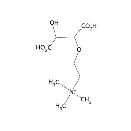 C[N+](C)(C)CCOC(C(=O)O)C(O)C(=O)O